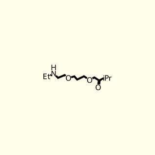 CCNCCOCCCOCC(=O)C(C)C